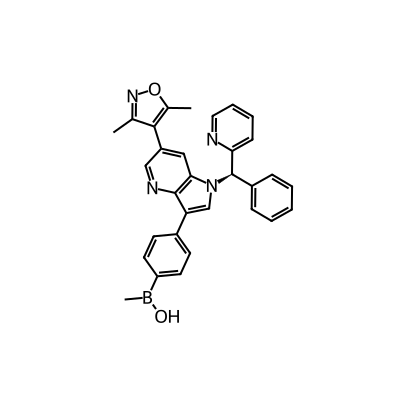 CB(O)c1ccc(-c2cn([C@H](c3ccccc3)c3ccccn3)c3cc(-c4c(C)noc4C)cnc23)cc1